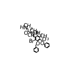 CNCC(=O)C(C)(C)N(C)Cc1c(F)c(C)c(C(=O)Oc2ccccc2)c(OCc2ccccc2)c1Br